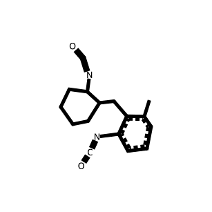 Cc1cccc(N=C=O)c1CC1CCCCC1N=C=O